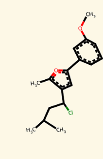 COc1cccc(-c2cc(C(Cl)CC(C)C)c(C)o2)c1